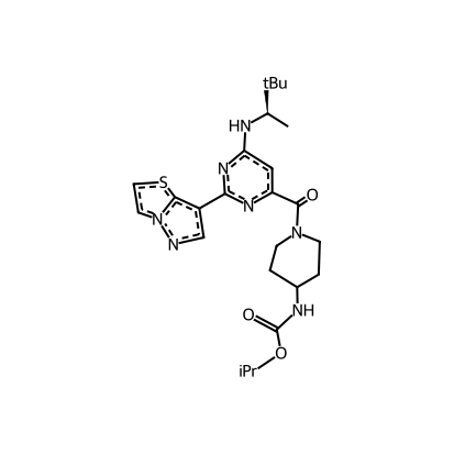 CC(C)OC(=O)NC1CCN(C(=O)c2cc(N[C@H](C)C(C)(C)C)nc(-c3cnn4ccsc34)n2)CC1